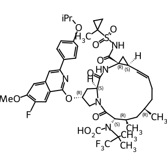 COc1cc2cc(-c3ccc(OC(C)C)cc3)nc(O[C@@H]3C[C@H]4C(=O)N[C@]5(C(=O)NS(=O)(=O)C6(C)CC6)C[C@H]5C=CCC[C@@H](C)C[C@@H](C)[C@H](N(C(=O)O)C(C)(C)C(F)(F)F)C(=O)N4C3)c2cc1F